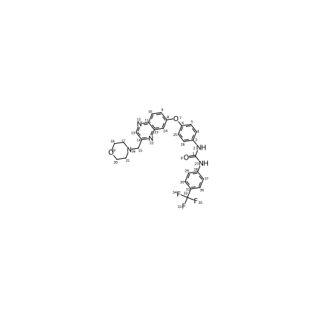 O=C(Nc1ccc(Oc2ccc3ncc(CN4CCOCC4)nc3c2)cc1)Nc1ccc(C(F)(F)F)cc1